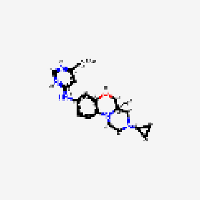 CNc1cc(Nc2ccc3c(c2)OC[C@H]2CN(C4CC4)CCN32)ncn1